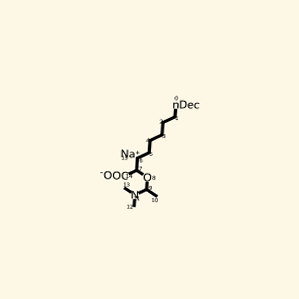 CCCCCCCCCCCCCCCCC(OC(C)N(C)C)C(=O)[O-].[Na+]